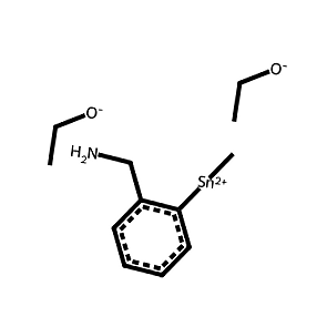 CC[O-].CC[O-].[CH3][Sn+2][c]1ccccc1CN